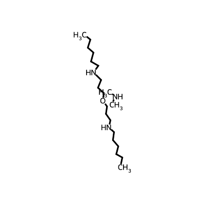 CCCCCCNCCCOCCCNCCCCCC.CNC